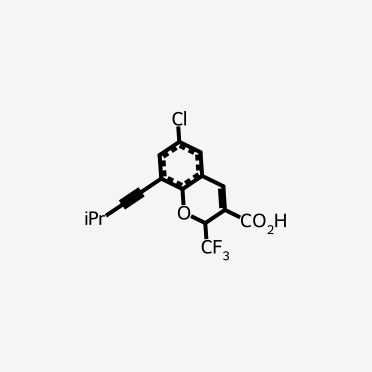 CC(C)C#Cc1cc(Cl)cc2c1OC(C(F)(F)F)C(C(=O)O)=C2